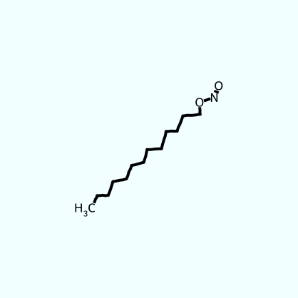 CCCCCCCCCCCCCON=O